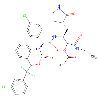 CCNC(=O)C(OC(C)=O)[C@H](C[C@@H]1CCNC1=O)NC(=O)[C@@H](NC(=O)OC(c1ccccc1)C(F)(F)c1cccc(Cl)c1)c1ccc(Cl)cc1